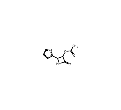 CC(=O)OC1C(=O)NC1c1cccs1